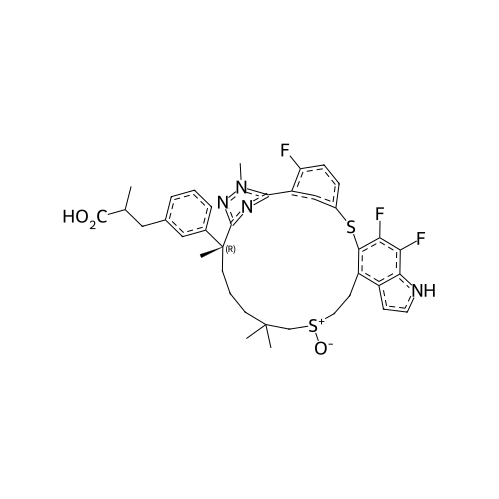 CC(Cc1cccc([C@@]2(C)CCCC(C)(C)C[S+]([O-])CCc3c(c(F)c(F)c4[nH]ccc34)Sc3ccc(F)c(c3)-c3nc2nn3C)c1)C(=O)O